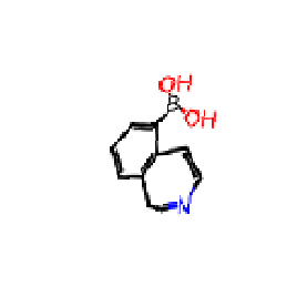 OB(O)c1cccc2c1C=CN=CC2